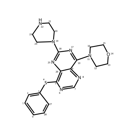 c1ccc(Sc2ncnc3c(N4CCOCC4)nc(N4CCNCC4)nc23)cc1